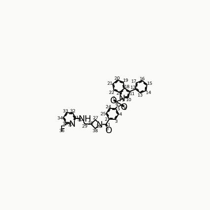 O=C(c1ccc(S(=O)(=O)n2cc(-c3ccccc3)c3ccccc32)cc1)N1CC(CNc2cccc(F)n2)C1